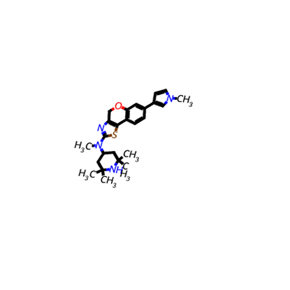 CN(c1nc2c(s1)-c1ccc(-c3ccn(C)c3)cc1OC2)C1CC(C)(C)NC(C)(C)C1